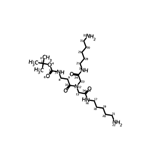 CC(C)(C)OC(=O)NCCC(=O)N(CC(=O)NCCCCCN)CC(=O)NCCCCCN